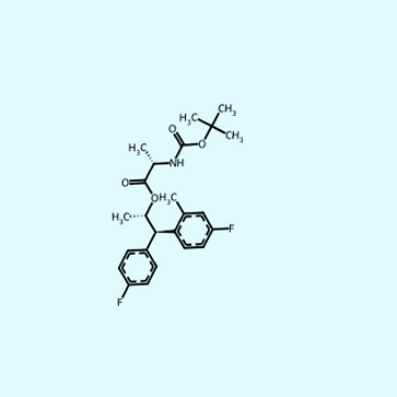 Cc1cc(F)ccc1[C@@H](c1ccc(F)cc1)[C@H](C)OC(=O)[C@H](C)NC(=O)OC(C)(C)C